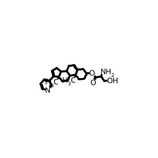 CC12CCC(OC(=O)C(N)CO)CC1=CCC1C2CCC2(C)C(c3cccnc3)=CCC12